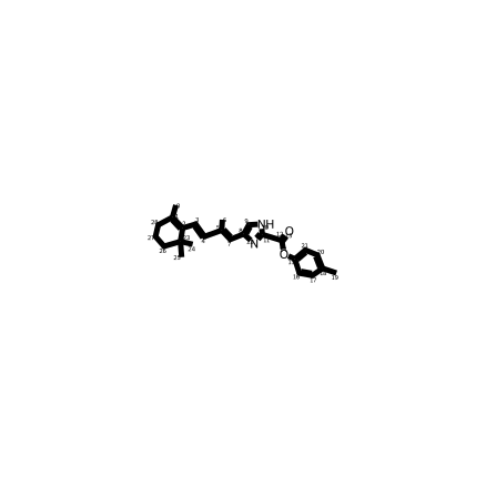 CC1=C(C=C/C(C)=C/c2c[nH]c(C(=O)Oc3ccc(C)cc3)n2)C(C)(C)CCC1